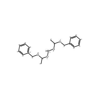 CC(OBOC(C)OCc1ccccc1)OCc1ccccc1